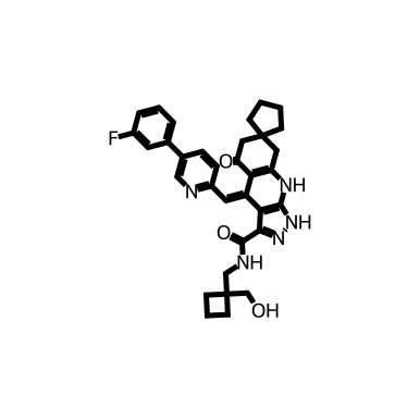 O=C1CC2(CCCC2)CC2=C1/C(=C\c1ccc(-c3cccc(F)c3)cn1)c1c(C(=O)NCC3(CO)CCC3)n[nH]c1N2